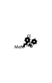 CNCCc1nc(=O)n(-c2ccccc2)c2cc(Cl)ccc12